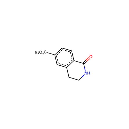 CCOC(=O)c1ccc2c(c1)CCNC2=O